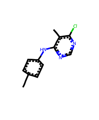 Cc1ccc(Nc2ncnc(Cl)c2C)cc1